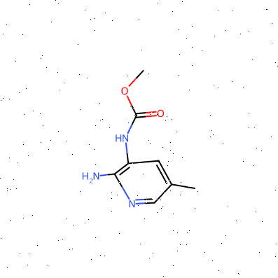 COC(=O)Nc1cc(C)cnc1N